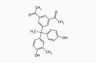 CC(=O)c1cc(C(C)=O)cc(C(C)(c2ccc(O)cc2)c2ccc(O)c(C)c2)c1